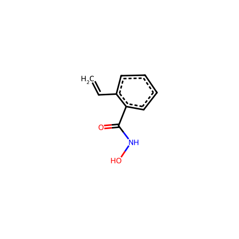 C=Cc1ccccc1C(=O)NO